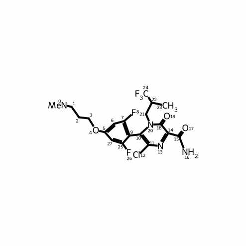 CNCCCOc1cc(F)c(-c2c(Cl)nc(C(N)=O)c(=O)n2CC(C)C(F)(F)F)c(F)c1